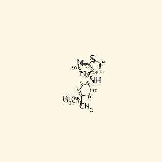 CN(C)[C@H]1CC[C@H](Nc2ncnc3sccc23)CC1